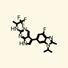 Cc1nc2c(F)cc(-c3c[nH]c4nc(NC(C)C(F)(F)F)ncc34)cc2n1C(C)C